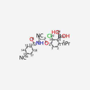 CCCc1ccc(OCC(C#N)NC(=O)c2ccc(C#N)cc2)c(Cl)c1B(O)O